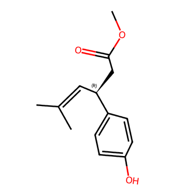 COC(=O)C[C@H](C=C(C)C)c1ccc(O)cc1